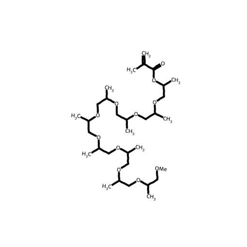 C=C(C)C(=O)OC(C)COC(C)COC(C)COC(C)COC(C)COC(C)COC(C)COC(C)COC(C)COC